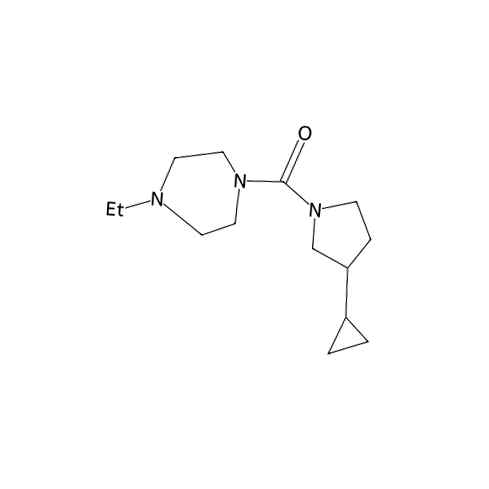 CCN1CCN(C(=O)N2CCC(C3CC3)C2)CC1